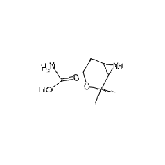 CC1(C)OCCC2NC21.NC(=O)O